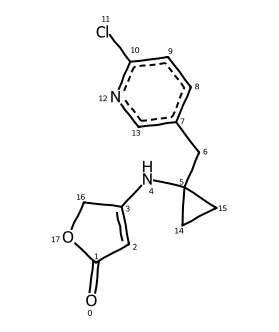 O=C1C=C(NC2(Cc3ccc(Cl)nc3)CC2)CO1